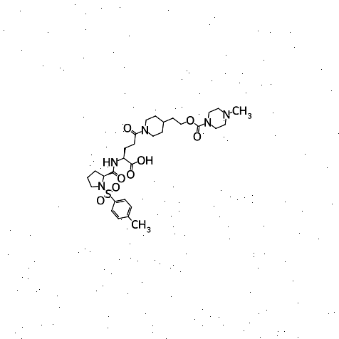 Cc1ccc(S(=O)(=O)N2CCC[C@H]2C(=O)N[C@@H](CCC(=O)N2CCC(CCOC(=O)N3CCN(C)CC3)CC2)C(=O)O)cc1